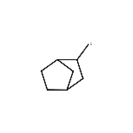 [CH]C1CC2CCC1C2